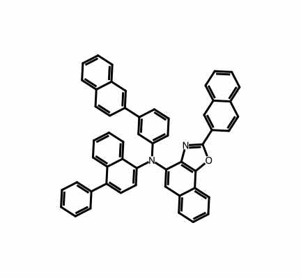 c1ccc(-c2ccc(N(c3cccc(-c4ccc5ccccc5c4)c3)c3cc4ccccc4c4oc(-c5ccc6ccccc6c5)nc34)c3ccccc23)cc1